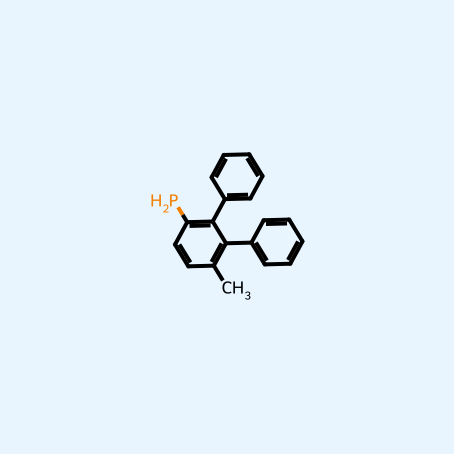 Cc1ccc(P)c(-c2ccccc2)c1-c1ccccc1